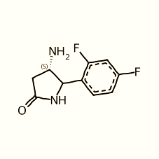 N[C@H]1CC(=O)NC1c1ccc(F)cc1F